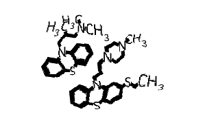 CC(CN(C)C)CN1c2ccccc2Sc2ccccc21.CCSc1ccc2c(c1)N(CCCN1CCN(C)CC1)c1ccccc1S2